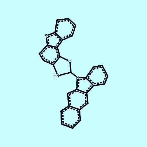 c1ccc2cc3c(cc2c1)c1ccccc1n3C1Nc2ccc3sc4ccccc4c3c2O1